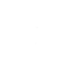 O=C(c1ccccc1)c1ccc(=O)[nH]c1